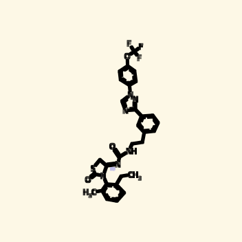 CCc1cccc(C)c1N1C(=O)SC/C1=N\C(=O)NCCc1cccc(-c2ncn(-c3ccc(OC(F)(F)F)cc3)n2)c1